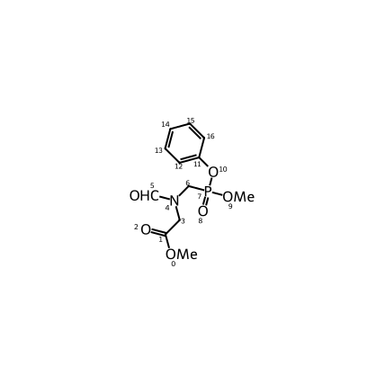 COC(=O)CN(C=O)CP(=O)(OC)Oc1ccccc1